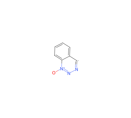 [O-][n+]1nn[c]c2ccccc21